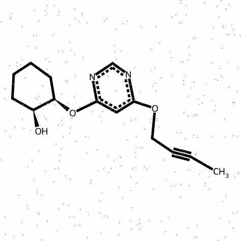 CC#CCOc1cc(O[C@@H]2CCCC[C@@H]2O)ncn1